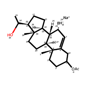 CC(=O)OC1CC[C@@]2(C)C(=CC[C@H]3[C@@H]4CC[C@H](C(C)O)[C@@]4(C)CC[C@@H]32)C1.[BH4-].[Na+]